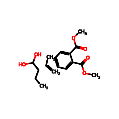 C=CC.CCCC(O)O.COC(=O)c1ccccc1C(=O)OC